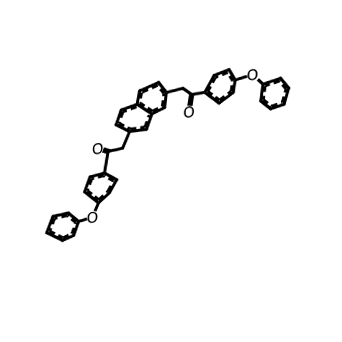 O=C(Cc1ccc2ccc(CC(=O)c3ccc(Oc4ccccc4)cc3)cc2c1)c1ccc(Oc2ccccc2)cc1